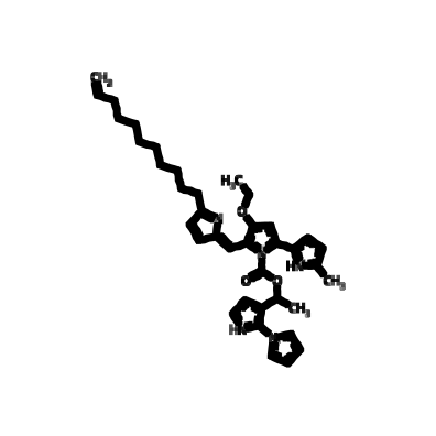 C=CCCCCCCCCCC1=NC(=Cc2c(OCC)cc(-c3ccc(C)[nH]3)n2C(=O)OC(C)c2cc[nH]c2-n2cccc2)C=C1